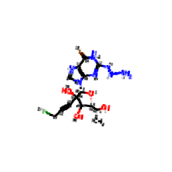 C[C@@H](O)[C@H]1O[C@@H](n2cnc3c(=S)[nH]c(N=NN)nc32)[C@@](O)(C#CCF)C1O